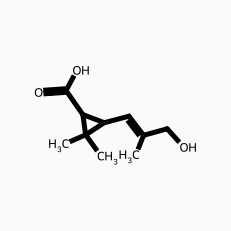 C/C(=C\C1C(C(=O)O)C1(C)C)CO